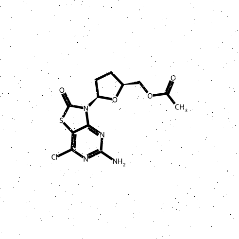 CC(=O)OC[C@@H]1CC[C@H](n2c(=O)sc3c(Cl)nc(N)nc32)O1